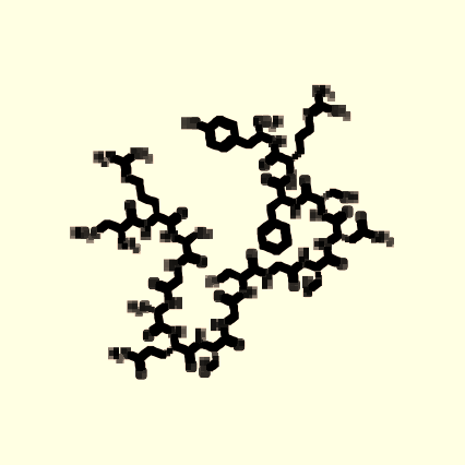 CC[C@H](C)[C@H](NC(=O)[C@H](CCCN=C(N)N)NC(=O)[C@@H](N)CC(=O)O)C(=O)NCC(=O)N[C@@H](C)C(=O)N[C@@H](CCC(N)=O)C(=O)N[C@@H](CO)C(=O)NCC(=O)N[C@@H](CC(C)C)C(=O)NCC(=O)N[C@@H](CS)C(=O)N[C@@H](CC(N)=O)C(=O)N[C@@H](CO)C(=O)N[C@@H](Cc1ccccc1)C(=O)N[C@@H](CCCN=C(N)N)C(=O)N[C@@H](Cc1ccc(O)cc1)C(=O)O